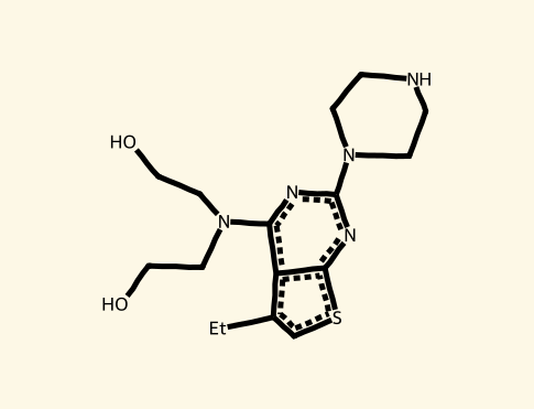 CCc1csc2nc(N3CCNCC3)nc(N(CCO)CCO)c12